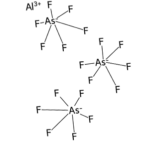 F[As-](F)(F)(F)(F)F.F[As-](F)(F)(F)(F)F.F[As-](F)(F)(F)(F)F.[Al+3]